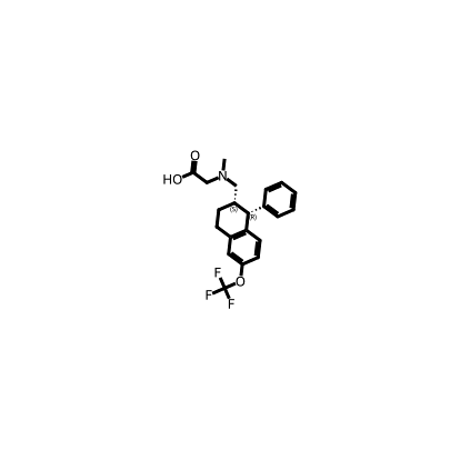 CN(CC(=O)O)C[C@H]1CCc2cc(OC(F)(F)F)ccc2[C@H]1c1ccccc1